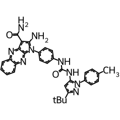 Cc1ccc(-n2nc(C(C)(C)C)cc2NC(=O)Nc2ccc(-n3c(N)c(C(N)=O)c4nc5ccccc5nc43)cc2)cc1